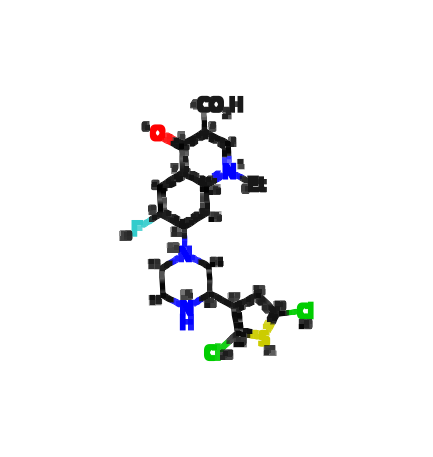 CCn1cc(C(=O)O)c(=O)c2cc(F)c(N3CCNC(c4cc(Cl)sc4Cl)C3)cc21